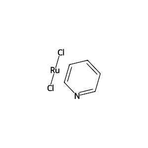 [Cl][Ru][Cl].c1ccncc1